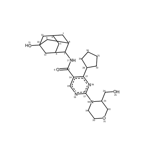 O=C(NC1C2CC3CC1CC(O)(C3)C2)c1cnc(N2CCOCC2CO)nc1C1CCCC1